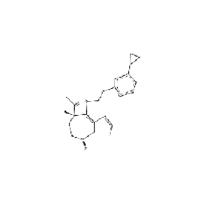 C=C(CCc1cccc(C2CC2)c1)C1=C(/C=C\C)C[C@@H](F)CC[C@]1(C)C(=C)C